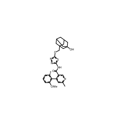 COc1cccc(F)c1-c1cc(C)ncc1C(=O)Nc1nnc(OCC23CC4CC(CC(O)(C4)C2)C3)s1